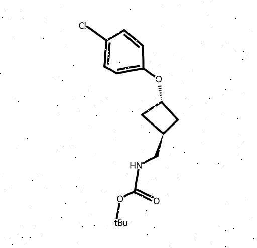 CC(C)(C)OC(=O)NC[C@H]1C[C@H](Oc2ccc(Cl)cc2)C1